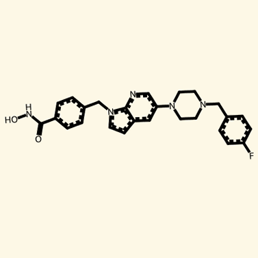 O=C(NO)c1ccc(Cn2ccc3cc(N4CCN(Cc5ccc(F)cc5)CC4)cnc32)cc1